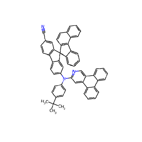 CC(C)(C)c1ccc(N(c2ccc3c(c2)C2(c4cc(C#N)ccc4-3)c3ccccc3-c3c2ccc2ccccc32)c2cc3c4ccccc4c4ccccc4c3cn2)cc1